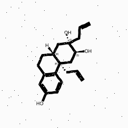 C=CC[C@]1(O)C[C@H]2CCc3cc(O)ccc3[C@]2(CC=C)C[C@@H]1O